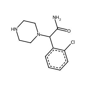 NC(=O)C(c1ccccc1Cl)N1CCNCC1